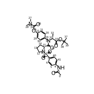 CC(=O)Nc1ccc(S(=O)(=O)N2CCC[C@H]2C(=O)N(c2ccc(OC(=O)N(C)C)cc2)[C@@H](C)C(=O)OC(C)(C)C)cc1